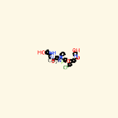 O=C(N[C@@H](Cc1c[nH]c2ccc(O)cc12)C(=O)O)c1ccc2c(c1)nc(-c1ccc(OCc3cc(C(=O)N4CCC(O)CC4)ccc3-c3ccc(Cl)cc3)cc1F)n2C1CCCCC1